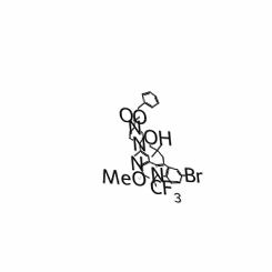 CO[C@@H](C)c1ncc(N2CCN(C(=O)OCc3ccccc3)CC2)cc1-c1c(CC(C)(C)CO)c2cc(Br)ccc2n1CC(F)(F)F